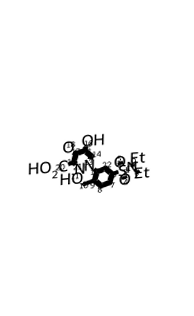 CCN(CC)S(=O)(=O)c1ccc(CO)c(-n2cc(O)c(=O)c(C(=O)O)n2)c1